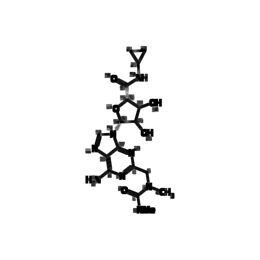 CNC(=O)N(C)Cc1nc(N)c2ncn([C@@H]3O[C@H](C(=O)NC4CC4)C(O)C3O)c2n1